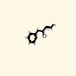 C/C=C/C([O])Cc1ccccc1